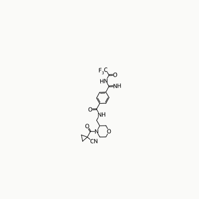 N#CC1(C(=O)N2CCOCC2CNC(=O)c2ccc(C(=N)NC(=O)C(F)(F)F)cc2)CC1